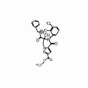 CCOC(=O)c1cc2n(n1)CC(C)(C(=O)NCc1ccccc1)N(c1cccc(Cl)c1C)C2=O